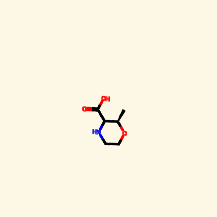 C[C@H]1OCCNC1C(=O)O